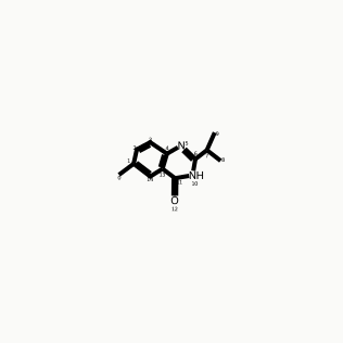 Cc1ccc2nc(C(C)C)[nH]c(=O)c2c1